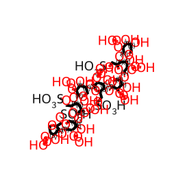 O=S(=O)(O)OCC1OCC(OOO)[C@@H](O)[C@@H]1O[C@H]1OC[C@@H](O[C@H]2OC(COS(=O)(=O)O)[C@@H](O[C@H]3OC[C@@H](O[C@H]4OC(COS(=O)(=O)O)[C@@H](O[C@H]5OC[C@@H](O[C@H]6OC(COS(=O)(=O)O)[C@@H](O[C@H]7OC[C@@H](O)[C@@H](O)C7OOO)[C@H](O)C6OOO)[C@@H](O)C5OOO)[C@H](O)C4OOO)[C@@H](O)C3OOO)[C@H](O)C2OOO)[C@@H](O)C1OOO